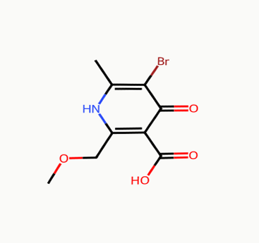 COCc1[nH]c(C)c(Br)c(=O)c1C(=O)O